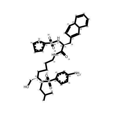 CC(C)CN([C@H](CO)CCCCNC(=O)[C@H](CC1=CC2C=CC=CC2C=C1)NS(=O)(=O)c1cccs1)S(=O)(=O)c1ccc(N)cc1